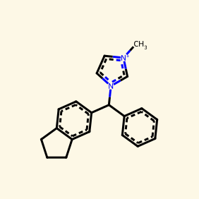 C[n+]1ccn(C(c2ccccc2)c2ccc3c(c2)CCC3)c1